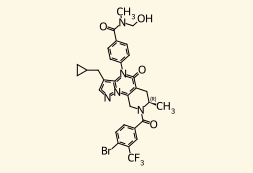 C[C@@H]1Cc2c(n3ncc(CC4CC4)c3n(-c3ccc(C(=O)N(C)CO)cc3)c2=O)CN1C(=O)c1ccc(Br)c(C(F)(F)F)c1